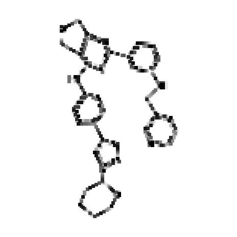 c1cncc(CNc2cccc(-c3nc4c(c(Nc5ccc(-c6cnn(C7CCCCO7)c6)cc5)n3)COC4)c2)c1